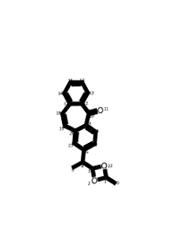 CC1OC(C(C)c2ccc3c(=O)c4ccccc4ccc3c2)O1